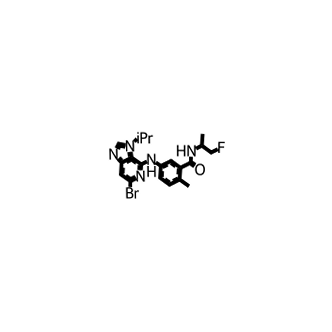 Cc1ccc(Nc2nc(Br)cc3ncn(C(C)C)c23)cc1C(=O)NC(C)CF